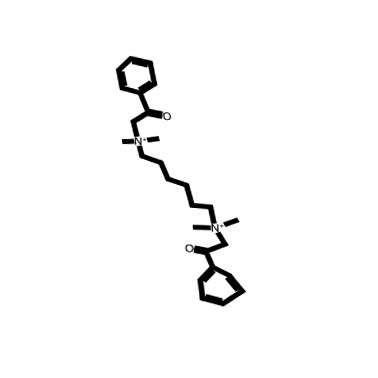 C[N+](C)(CCCCCC[N+](C)(C)CC(=O)c1ccccc1)CC(=O)c1ccccc1